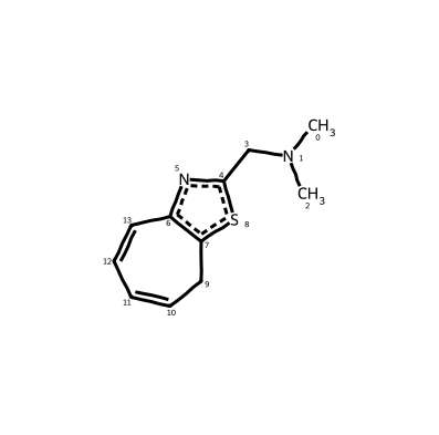 CN(C)Cc1nc2c(s1)CC=CC=C2